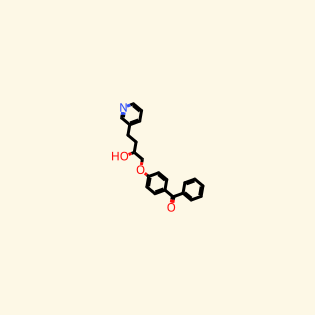 O=C(c1ccccc1)c1ccc(OCC(O)CCc2cccnc2)cc1